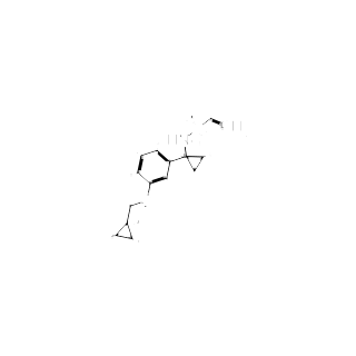 C=CS(=O)(=O)NC1(c2cccc(OCC3CC3)c2)CC1